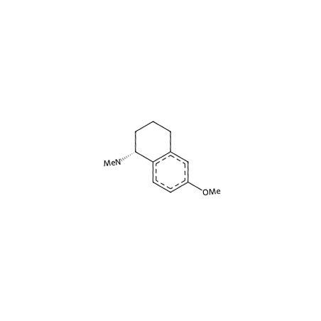 CN[C@@H]1CCCc2cc(OC)ccc21